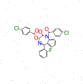 O=C(OC1N=C(c2ccccc2F)c2ccccc2N(C(=O)c2ccc(Cl)cc2)C1=O)c1ccc(Cl)cc1